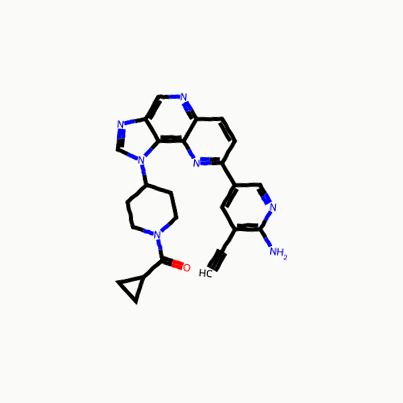 C#Cc1cc(-c2ccc3ncc4ncn(C5CCN(C(=O)C6CC6)CC5)c4c3n2)cnc1N